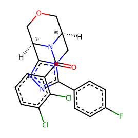 O=C(c1cccc(Cl)c1Cl)N1[C@H]2COC[C@@H]1c1nnc(-c3ccc(F)cc3)n1C2